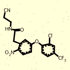 N#CCCNC(=O)Cc1cc(Oc2ccc(C(F)(F)F)cc2Cl)ccc1[N+](=O)[O-]